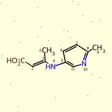 C/C(=C\C(=O)O)Nc1ccc(C)nc1